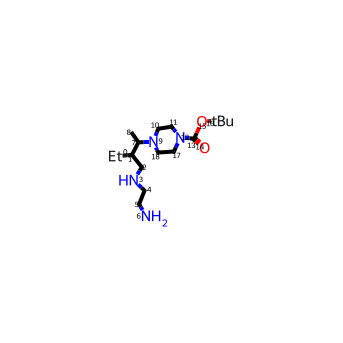 CCC(CNCCN)C(C)N1CCN(C(=O)OC(C)(C)C)CC1